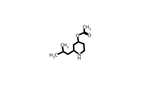 CC(=O)OC1CCNC(CC(C)C)C1